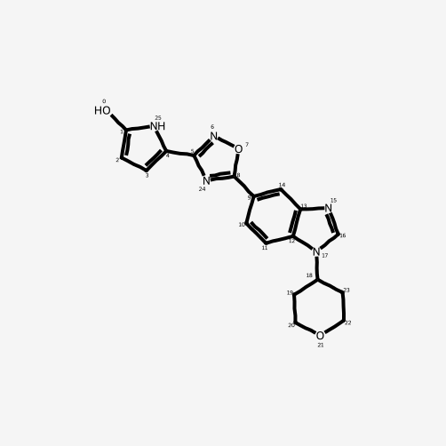 Oc1ccc(-c2noc(-c3ccc4c(c3)ncn4C3CCOCC3)n2)[nH]1